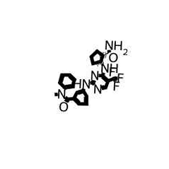 CN(C(=O)c1cccc(Nc2ncc(C(F)(F)F)c(N[C@@H]3CCC[C@@H]3C(N)=O)n2)c1)c1ccccc1